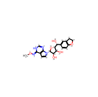 CON=c1[nH]cnc2c1ccn2[C@@H]1O[C@H]([C@H](O)c2ccc3c(c2)CCO3)[C@@H](O)[C@H]1O